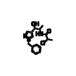 CC(Cl)C(=O)NC(C)C(O)c1cnn(Cc2ccccc2)c1